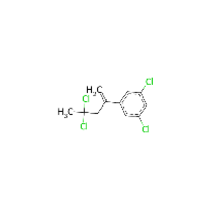 C=C(CC(C)(Cl)Cl)c1cc(Cl)cc(Cl)c1